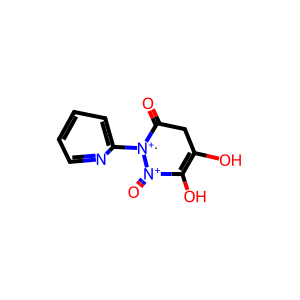 O=C1CC(O)=C(O)[N+](=O)[N+]1c1ccccn1